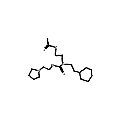 CC(=O)SCCN(CCC1CCCCC1)C(=O)NCCN1CCCC1